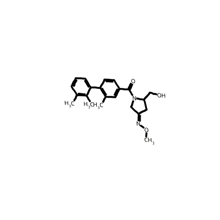 CO/N=C1\CC(CO)N(C(=O)c2ccc(-c3cccc(C)c3C)c(C)c2)C1